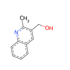 Cc1nc2ccccc2cc1CO